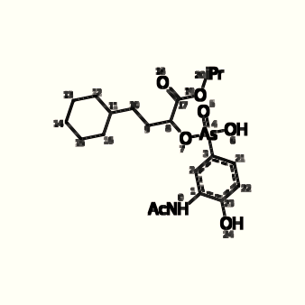 CC(=O)Nc1cc([As](=O)(O)OC(CCC2CCCCC2)C(=O)OC(C)C)ccc1O